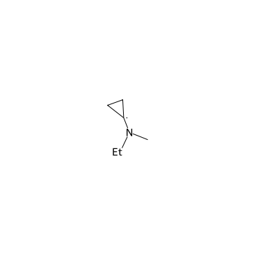 CCN(C)[C]1CC1